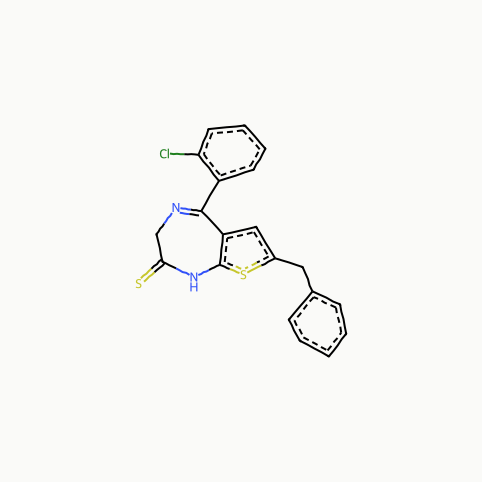 S=C1CN=C(c2ccccc2Cl)c2cc(Cc3ccccc3)sc2N1